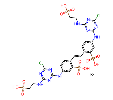 O=S(=O)(O)CCNc1nc(Cl)nc(Nc2ccc(C=Cc3ccc(Nc4nc(Cl)nc(NCCS(=O)(=O)O)n4)cc3S(=O)(=O)O)c(S(=O)(=O)O)c2)n1.[K]